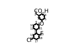 O=C(O)Cc1cccc(Oc2cccc(-c3cc(Cl)ccc3F)c2)c1